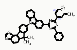 C=C/C=C(\C=C/C)c1nc(-c2ccccc2)nc(-c2ccc3c(c2)c2ccccc2n3-c2ccc3c(c2)C(C)(C)c2ccc4ncsc4c2-3)n1